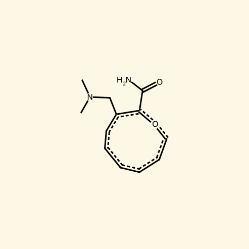 CN(C)Cc1ccccccoc1C(N)=O